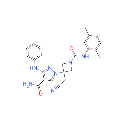 Cc1ccc(C)c(NC(=O)N2CC(CC#N)(n3cc(C(N)=O)c(Nc4ccccc4)n3)C2)c1